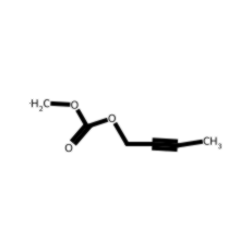 [CH2]OC(=O)OCC#CC